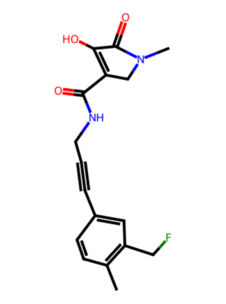 Cc1ccc(C#CCNC(=O)C2=C(O)C(=O)N(C)C2)cc1CF